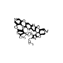 Cc1sc2c(c1C)B1c3cc4nc5c(cc4nc3Oc3cncc(c31)O2)Oc1cncc2c1B5c1c(sc(C)c1C)O2